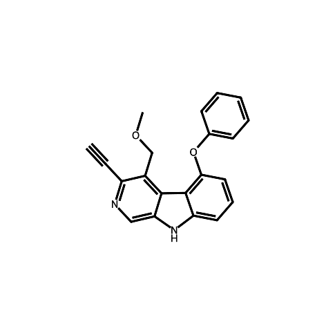 C#Cc1ncc2[nH]c3cccc(Oc4ccccc4)c3c2c1COC